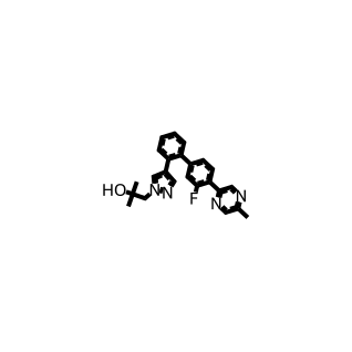 Cc1cnc(-c2ccc(-c3ccccc3-c3cnn(CC(C)(C)O)c3)cc2F)cn1